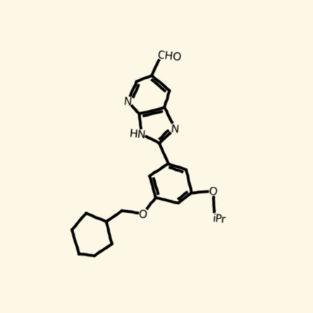 CC(C)Oc1cc(OCC2CCCCC2)cc(-c2nc3cc(C=O)cnc3[nH]2)c1